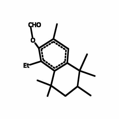 CCc1c(OC=O)c(C)cc2c1C(C)(C)CC(C)C2(C)C